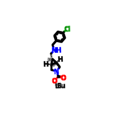 CC(C)(C)OC(=O)N1C[C@@H]2[C@@H](CNCc3ccc(Cl)cc3)[C@@H]2C1